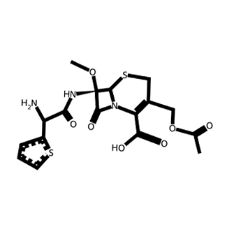 CO[C@@]1(NC(=O)C(N)c2cccs2)C(=O)N2C(C(=O)O)=C(COC(C)=O)CSC21